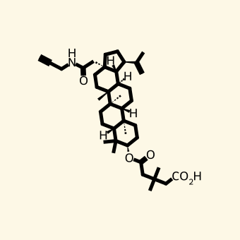 C#CCNC(=O)C[C@]12CC[C@@H](C(=C)C)[C@@H]1[C@H]1CC[C@@H]3[C@@]4(C)CC[C@H](OC(=O)CC(C)(C)CC(=O)O)C(C)(C)[C@@H]4CC[C@@]3(C)[C@]1(C)CC2